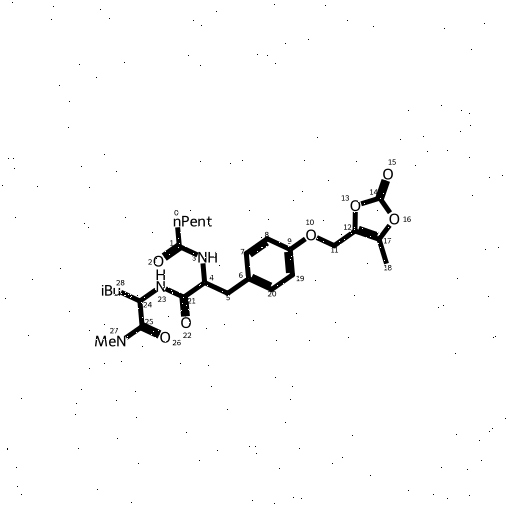 CCCCCC(=O)NC(Cc1ccc(OCc2oc(=O)oc2C)cc1)C(=O)NC(C(=O)NC)C(C)CC